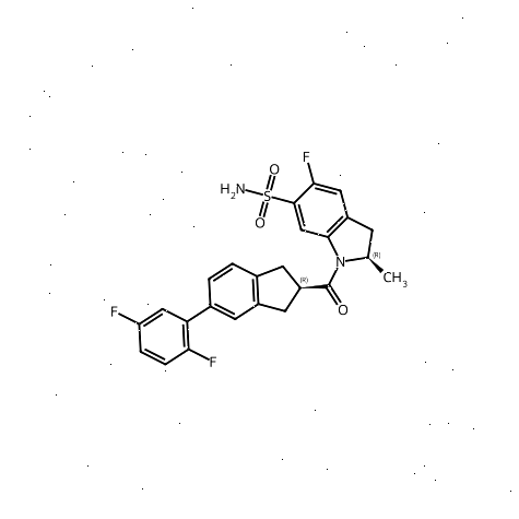 C[C@@H]1Cc2cc(F)c(S(N)(=O)=O)cc2N1C(=O)[C@@H]1Cc2ccc(-c3cc(F)ccc3F)cc2C1